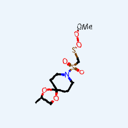 COOOSCS(=O)(=O)N1CCC2(CC1)OCC(C)O2